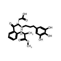 COC(=O)C(C)Nc1ccccc1C(=O)[C@H](CC(=O)O)NCCCc1cc(O)c(O)c(O)c1